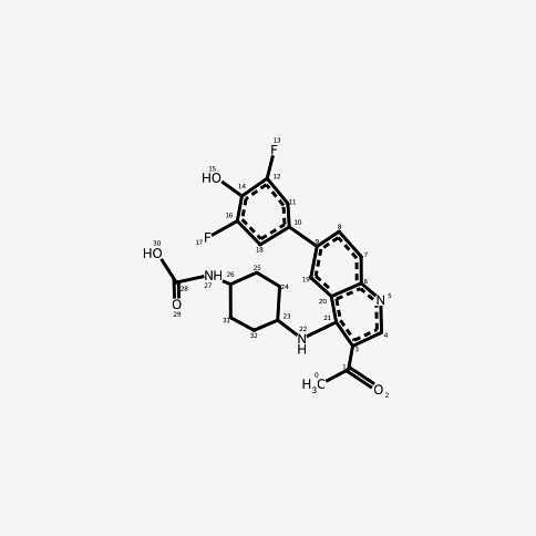 CC(=O)c1cnc2ccc(-c3cc(F)c(O)c(F)c3)cc2c1NC1CCC(NC(=O)O)CC1